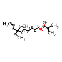 C=CCC(CC)(CC)CCCCCCOC(=O)C(=C)C